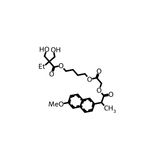 CCC(CO)(CO)C(=O)OCCCCOC(=O)COC(=O)C(C)c1ccc2cc(OC)ccc2c1